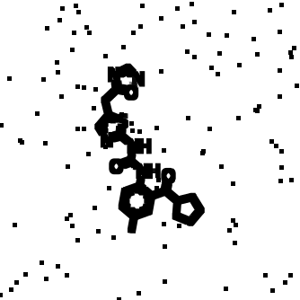 Cc1ccc(NC(=O)Nc2ncc(Cc3ncno3)s2)c(C(=O)C2CCCC2)c1